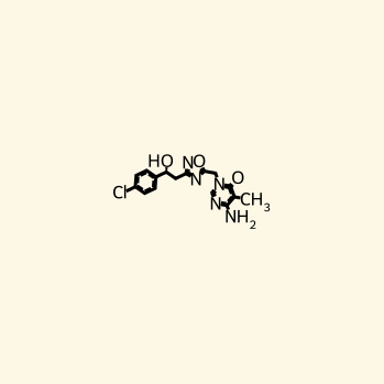 Cc1c(N)ncn(Cc2nc(C[C@H](O)c3ccc(Cl)cc3)no2)c1=O